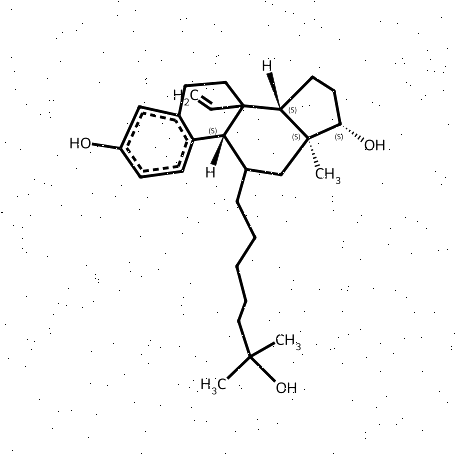 C=CC12CCc3cc(O)ccc3[C@H]1C(CCCCCC(C)(C)O)C[C@]1(C)[C@@H](O)CC[C@@H]21